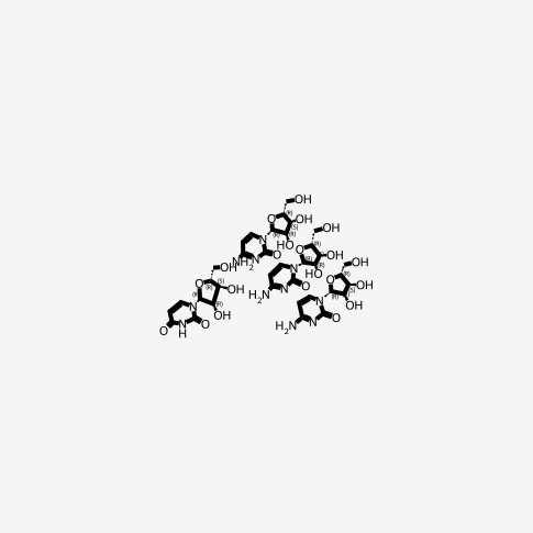 Nc1ccn([C@@H]2O[C@H](CO)[C@@H](O)[C@H]2O)c(=O)n1.Nc1ccn([C@@H]2O[C@H](CO)[C@@H](O)[C@H]2O)c(=O)n1.Nc1ccn([C@@H]2O[C@H](CO)[C@@H](O)[C@H]2O)c(=O)n1.O=c1ccn([C@@H]2O[C@H](CO)[C@@H](O)[C@H]2O)c(=O)[nH]1